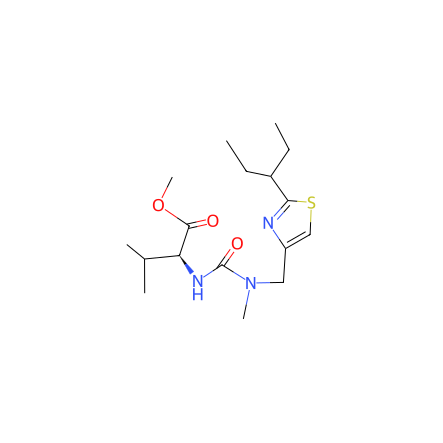 CCC(CC)c1nc(CN(C)C(=O)N[C@H](C(=O)OC)C(C)C)cs1